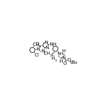 Cc1cc(Nc2ncc3c(n2)N(C)CN(c2c(C)cccc2Cl)C3=O)ccc1N1C[C@@H]2C[C@H]1CN2C(=O)OC(C)(C)C